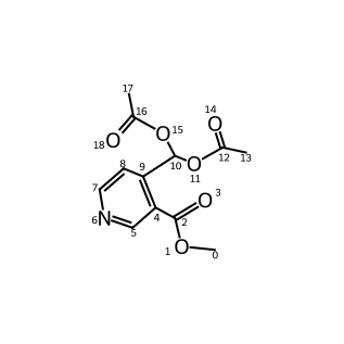 COC(=O)c1cnccc1C(OC(C)=O)OC(C)=O